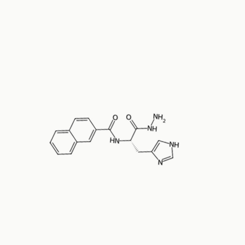 NNC(=O)[C@H](Cc1c[nH]cn1)NC(=O)c1ccc2ccccc2c1